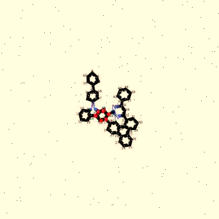 c1ccc(-c2ccc(-n3c4ccccc4c4cc(-c5ccc6c7ccccc7c7cccc(-c8cc(-c9ccccc9)nc(-c9ccccc9)n8)c7c6c5)ccc43)cc2)cc1